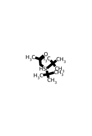 CC(=O)C[SiH](C(C)(C)C)C(C)(C)C